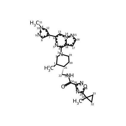 C[C@H]1CN(c2nc(-c3cnn(C)c3)cn3nccc23)CC[C@@H]1CNC(=O)c1noc(C2(C)CC2)n1